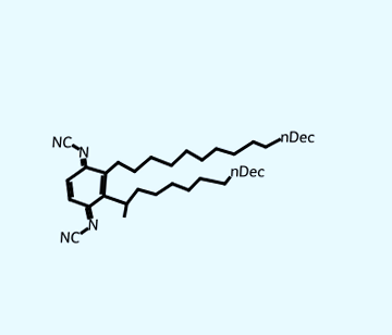 CCCCCCCCCCCCCCCCCCCCC1=C(C(C)CCCCCCCCCCCCCCCC)C(=NC#N)C=CC1=NC#N